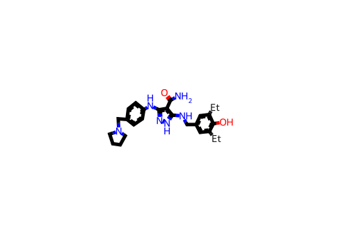 CCc1cc(CNc2[nH]nc(Nc3ccc(CN4CCCC4)cc3)c2C(N)=O)cc(CC)c1O